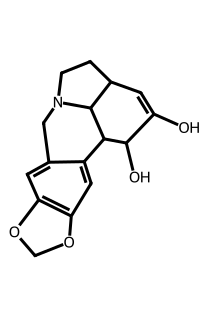 OC1=CC2CCN3Cc4cc5c(cc4C(C1O)C23)OCO5